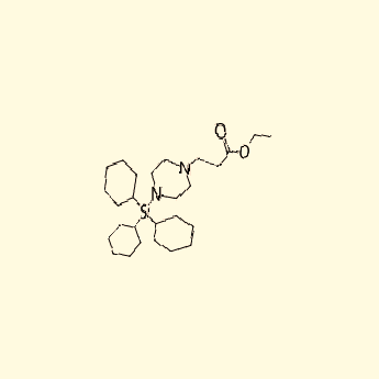 CCOC(=O)CCN1CCN([Si](C2CCCCC2)(C2CCCCC2)C2CCCCC2)CC1